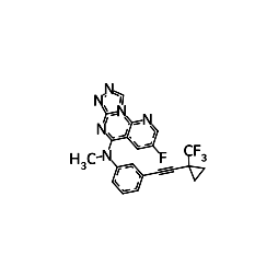 CN(c1cccc(C#CC2(C(F)(F)F)CC2)c1)c1nc2nncn2c2ncc(F)cc12